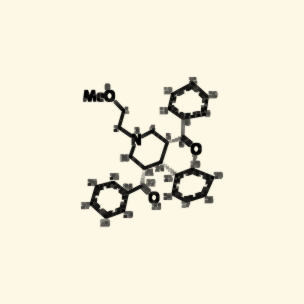 COCCN1C[C@H](C(=O)c2ccccc2)[C@H](c2ccccc2)[C@H](C(=O)c2ccccc2)C1